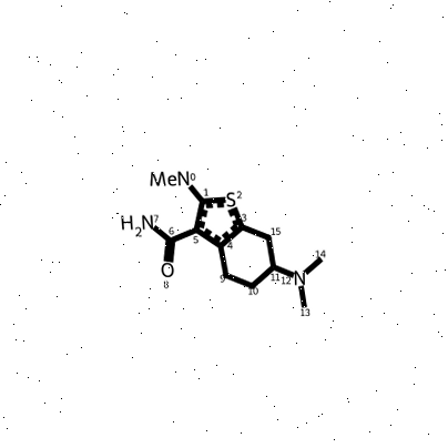 CNc1sc2c(c1C(N)=O)CCC(N(C)C)C2